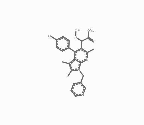 COC(=O)C(OC(C)(C)C)c1c(C)nc2c(c(C)c(C)n2Cc2cccnc2)c1-c1ccc(Cl)cc1